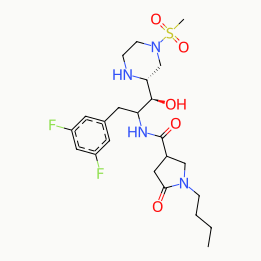 CCCCN1CC(C(=O)NC(Cc2cc(F)cc(F)c2)[C@H](O)[C@H]2CN(S(C)(=O)=O)CCN2)CC1=O